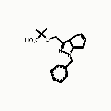 CC(C)(OCC1=NN(Cc2ccccc2)C2=CC=CCC21)C(=O)O